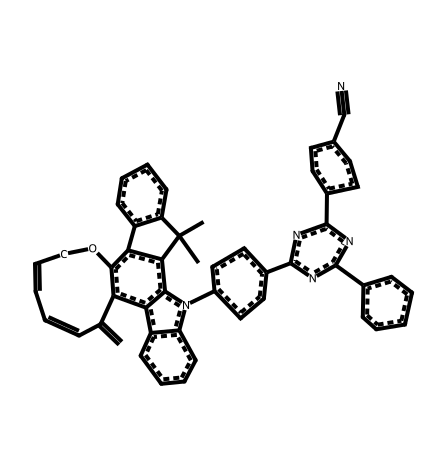 C=C1/C=C\C=C/COc2c3c(c4c(c21)c1ccccc1n4-c1ccc(-c2nc(-c4ccccc4)nc(-c4ccc(C#N)cc4)n2)cc1)C(C)(C)c1ccccc1-3